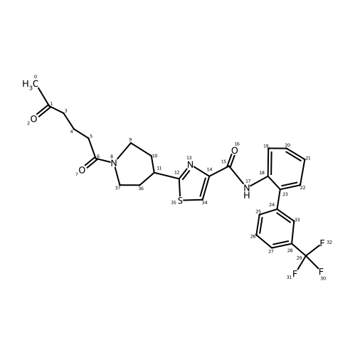 CC(=O)CCCC(=O)N1CCC(c2nc(C(=O)Nc3ccccc3-c3cccc(C(F)(F)F)c3)cs2)CC1